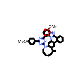 C=C1/C=C\C=C/CN(c2nc(-c3ccc(OC)cc3)nc(-c3ccc(OC)cc3)n2)c2cc3c(cc21)c1ccccc1c1nc2ccccc2n31